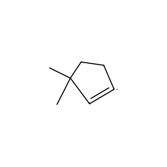 CC1(C)C=[C]CC1